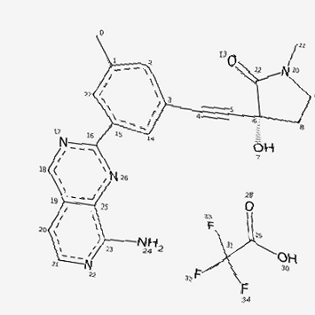 Cc1cc(C#C[C@]2(O)CCN(C)C2=O)cc(-c2ncc3ccnc(N)c3n2)c1.O=C(O)C(F)(F)F